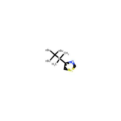 CCCCC(CCCC)(CCCC)[Si](C)(C)c1cscn1